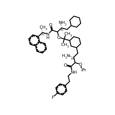 CC(C)OC(C(=O)NCCc1ccc(F)cc1)[C@H](N)CC1CCCC(C(C)(C)OC(C(=O)N[C@@H](C)c2cccc3ccccc23)[C@H](N)CC2CCCCC2)C1